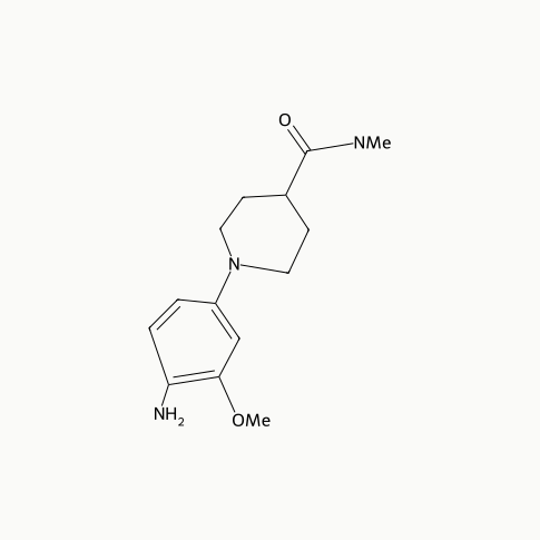 CNC(=O)C1CCN(c2ccc(N)c(OC)c2)CC1